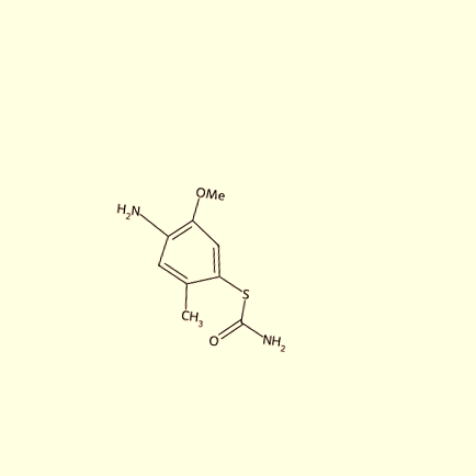 COc1cc(SC(N)=O)c(C)cc1N